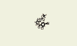 CC(C)(C)OC(=O)NCC1CCCN1C(=O)c1ccc(C#N)cc1Cl